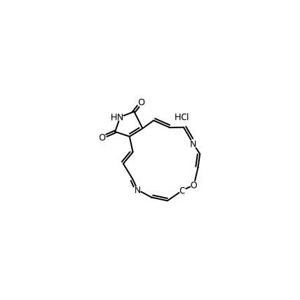 Cl.O=C1NC(=O)C2=C1/C=C/C=N/C=C\CO\C=C/N=C/C=C/2